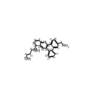 NCc1ccc(-c2nc3ccnc(NCCCO)c3cc2-c2ccccc2)cc1